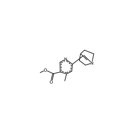 COC(=O)c1cnc(C2=CN3CCC2CC3)cc1C